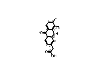 Cc1ccc2c(=O)c3ccc(CC(=O)O)cc3[nH]c2c1C